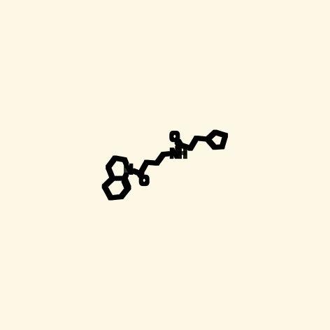 O=C(CCC1CCCC1)NCCCC(=O)N1CCCC2CCCC=C21